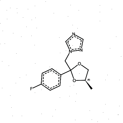 C[C@@H]1COC(Cn2cncn2)(c2ccc(F)cc2)O1